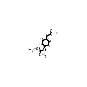 [CH2]CCC1CCC(OC(C)OC)CC1